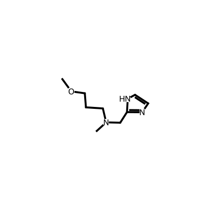 COCCCN(C)Cc1ncc[nH]1